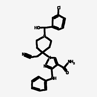 N#CCC1(n2cc(C(N)=O)c(Nc3ccccc3)n2)CCN(C(O)c2cccc(Cl)c2)CC1